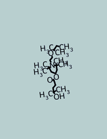 CCC(C)(C)OCCN1C(C)(C)CC(OC(=O)CCC(C)(C)O)CC1(C)C